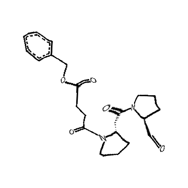 O=C[C@@H]1CCCN1C(=O)[C@@H]1CCCN1C(=O)CCC(=O)OCc1ccccc1